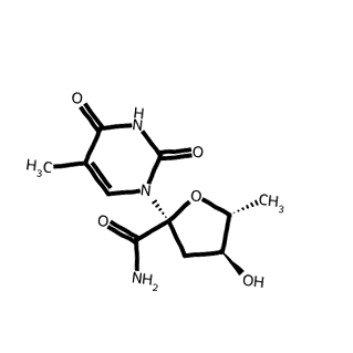 Cc1cn([C@@]2(C(N)=O)C[C@H](O)[C@@H](C)O2)c(=O)[nH]c1=O